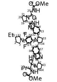 CC[C@H]1CCN(c2c(F)cc(N3[C@@H](c4ccc5[nH]c([C@@H]6CCCN6C(=O)CNC(=O)OC)nc5c4)CC[C@@H]3c3ccc4[nH]c([C@@H]5CCCN5C(=O)C(NC(=O)OC)C(C)C)nc4c3)cc2F)C1